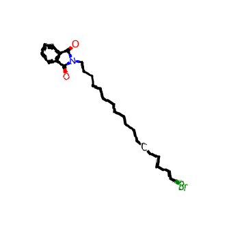 O=C1c2ccccc2C(=O)N1CCCCCCCCCCCCCCCCCCBr